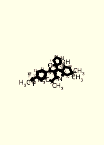 CC(C)c1nc2c(c3c1[C@@H](c1ccc(C(C)(F)F)cc1)OC31CCCC1)[C@@H](O)CC(C)(C)C2